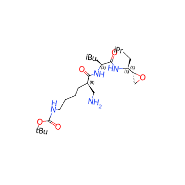 CCC(C)[C@H](NC(=O)[C@@H](CN)CCCCNC(=O)OC(C)(C)C)C(=O)N[C@@H](CC(C)C)[C@H]1CO1